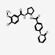 COc1cc(C(=O)NC2CCC[C@@H]2NC(=O)c2ccc(-n3ccccc3=O)cc2)ccc1Cl